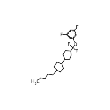 CCCCCC1CCC(C2CCC(C(F)(F)Oc3cc(F)cc(F)c3)CC2)CC1